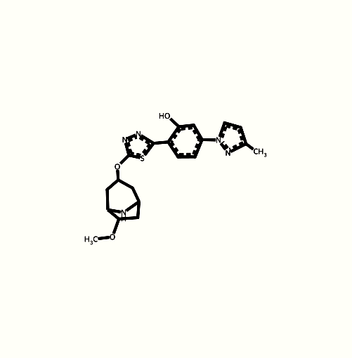 COC1CC2CC(Oc3nnc(-c4ccc(-n5ccc(C)n5)cc4O)s3)CC1N2